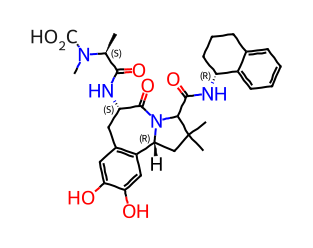 C[C@@H](C(=O)N[C@H]1Cc2cc(O)c(O)cc2[C@H]2CC(C)(C)C(C(=O)N[C@@H]3CCCc4ccccc43)N2C1=O)N(C)C(=O)O